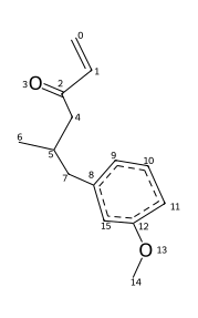 C=CC(=O)CC(C)Cc1cccc(OC)c1